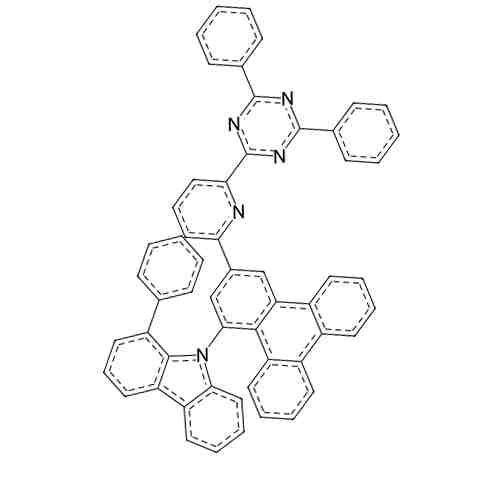 c1ccc(-c2nc(-c3ccccc3)nc(-c3cccc(-c4cc(-n5c6ccccc6c6cccc(-c7ccccc7)c65)c5c6ccccc6c6ccccc6c5c4)n3)n2)cc1